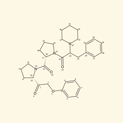 O=C(COc1ccccc1)[C@@H]1CCCN1C(=O)[C@@H]1CCCN1C(=O)C(Cc1ccccc1)N1CCCCC1